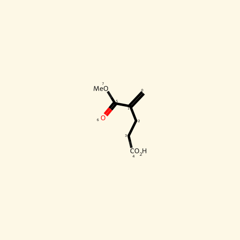 C=C(CCC(=O)O)C(=O)OC